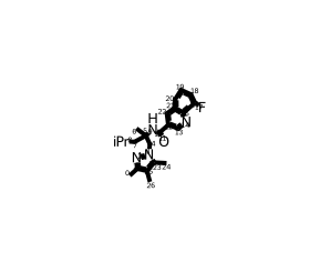 Cc1nn(CC(C)(CC(C)C)NC(=O)c2cnc3c(F)cccc3c2)c(C)c1C